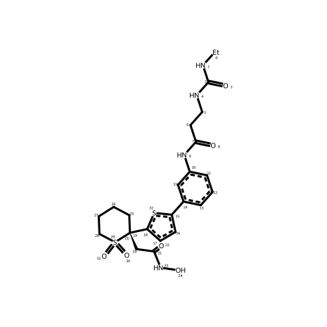 CCNC(=O)NCCC(=O)Nc1cccc(-c2ccc([C@@]3(CC(=O)NO)CCCCS3(=O)=O)s2)c1